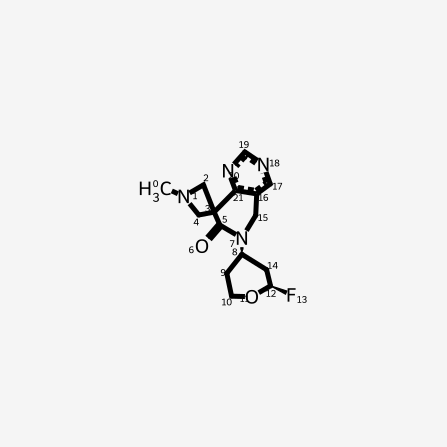 CN1CC2(C1)C(=O)N([C@H]1CCO[C@H](F)C1)Cc1cncnc12